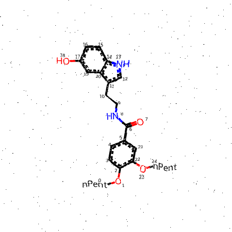 CCCCCOc1ccc(C(=O)NCCc2c[nH]c3ccc(O)cc23)cc1OCCCCC